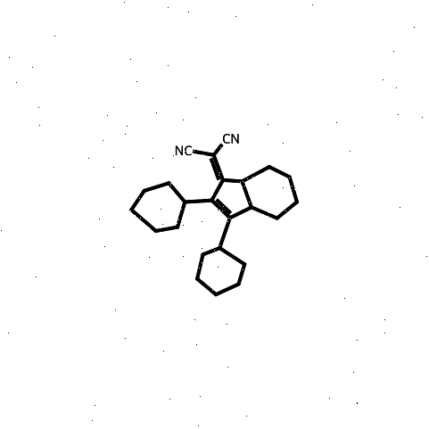 N#CC(C#N)=C1C(C2CCCCC2)=C(C2CCCCC2)C2CCCCC12